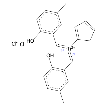 Cc1ccc(O)c(/[CH]=[Ti+2](=[CH]/c2cc(C)ccc2O)/[C]2=CC=CC2)c1.[Cl-].[Cl-]